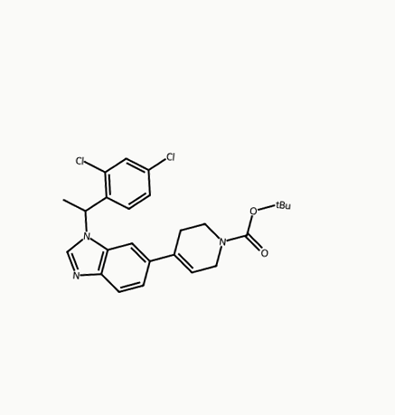 CC(c1ccc(Cl)cc1Cl)n1cnc2ccc(C3=CCN(C(=O)OC(C)(C)C)CC3)cc21